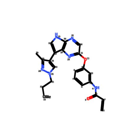 C=CC(=O)Nc1cccc(Oc2cnc3[nH]cc(-c4cn(CCOC)nc4C)c3n2)c1